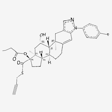 C#CCSC(=O)[C@@]1(OC(=O)CC)CC[C@H]2[C@@H]3CCC4=Cc5c(cnn5-c5ccc(F)cc5)C[C@]4(C)[C@H]3[C@@H](O)C[C@@]21C